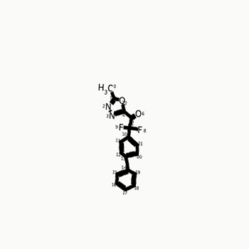 Cc1nnc(C(=O)C(F)(F)c2ccc(-c3ccccc3)cc2)o1